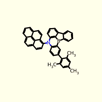 Cc1cc(C)c(-c2ccc3c(c2)B2c4ccccc4-c4cccc(c42)N3c2ccc3ccc4cccc5ccc2c3c45)c(C)c1